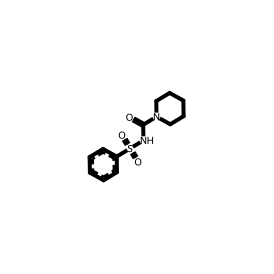 O=C(NS(=O)(=O)c1ccccc1)N1CCCCC1